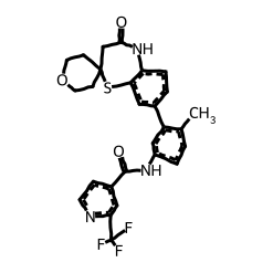 Cc1ccc(NC(=O)c2ccnc(C(F)(F)F)c2)cc1-c1ccc2c(c1)SC1(CCOCC1)CC(=O)N2